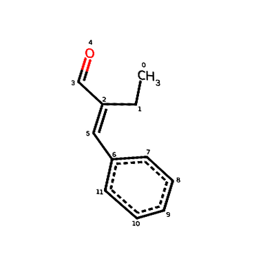 CC/C(C=O)=C\c1ccccc1